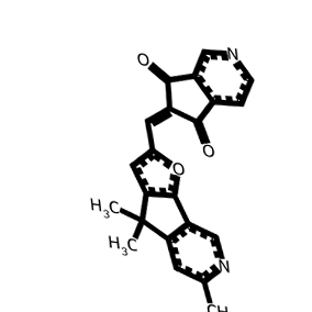 Cc1cc2c(cn1)-c1oc(/C=C3\C(=O)c4ccncc4C3=O)cc1C2(C)C